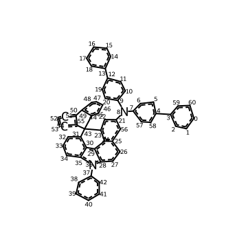 c1ccc(-c2ccc(N(c3ccc(-c4ccccc4)cc3)c3cc4c5c(ccc6c5c5c(cccc5n6-c5ccccc5)C45c4ccccc4-c4ccccc45)c3)cc2)cc1